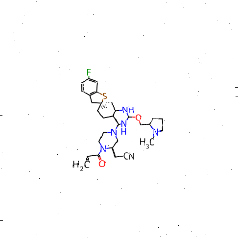 C=CC(=O)N1CCN(C2NC(OCC3CCCN3C)NC3C[C@]4(CCC32)Cc2ccc(F)cc2S4)CC1CC#N